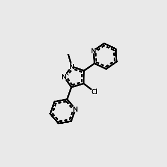 Cn1nc(-c2ccccn2)c(Cl)c1-c1ccccn1